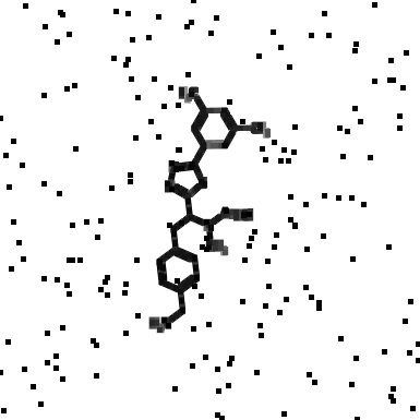 CC(=O)N(C)C(Cc1ccc(CN)cc1)c1nnc(-c2cc(C(F)(F)F)cc(C(F)(F)F)c2)s1.Cl